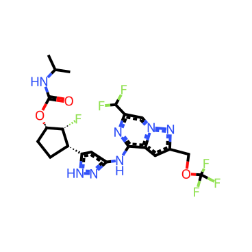 CC(C)NC(=O)O[C@H]1CC[C@@H](c2cc(Nc3nc(C(F)F)cn4nc(COC(F)(F)F)cc34)n[nH]2)[C@H]1F